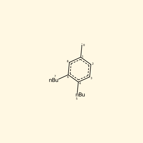 [CH2]c1ccc(CCCC)c(CCCC)c1